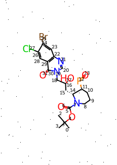 CC(C)(C)OC(=O)N1CCC[C@H](P=O)[C@H]1C[C@H](O)Cn1cnc2cc(Br)c(Cl)cc2c1=O